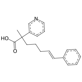 CC(CCCC=Cc1ccccc1)(C(=O)O)c1cccnc1